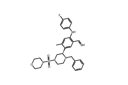 Cc1cc(Nc2ccc(F)cc2)c(C=N)cc1[C@@H]1CN(S(=O)(=O)N2CCOCC2)CCN1Cc1ccccc1